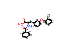 O=C(O)/C(=C/c1cccc(Oc2ccccc2Cl)c1)NC(=O)c1ccccc1